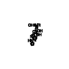 CCN(C=O)OC[C@H]1O[C@@H](n2cnc3c(NC4CCCC4)ncnc32)C(O)C1O